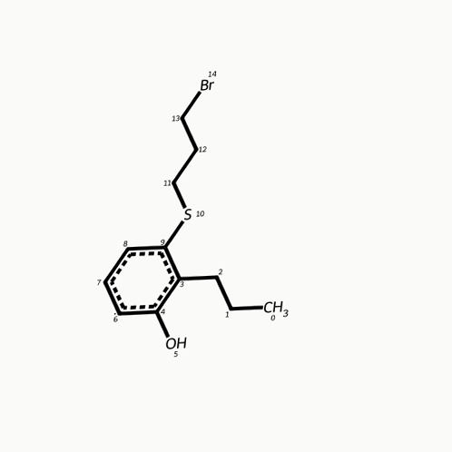 CCCc1c(O)[c]ccc1SCCCBr